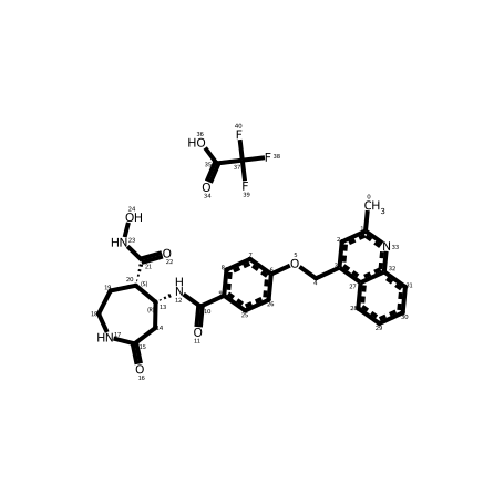 Cc1cc(COc2ccc(C(=O)N[C@@H]3CC(=O)NCC[C@@H]3C(=O)NO)cc2)c2ccccc2n1.O=C(O)C(F)(F)F